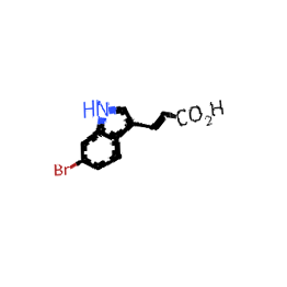 O=C(O)/C=C/c1c[nH]c2cc(Br)ccc12